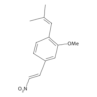 COc1cc(C=C[N+](=O)[O-])ccc1C=C(C)C